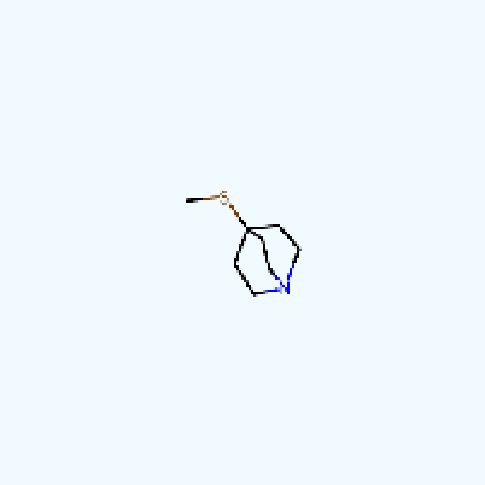 CSC12CCN(CC1)CC2